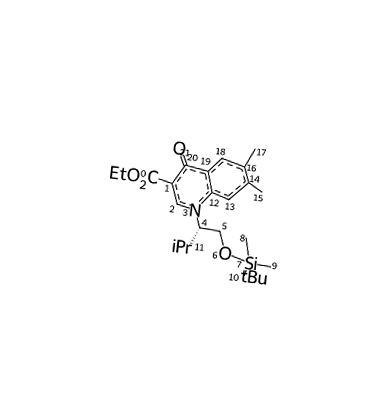 CCOC(=O)c1cn([C@H](CO[Si](C)(C)C(C)(C)C)C(C)C)c2cc(C)c(C)cc2c1=O